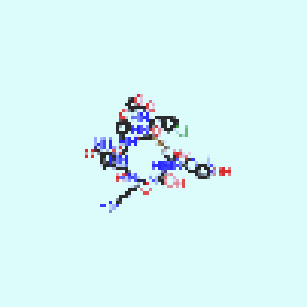 CNCCCCC[C@@H]1NC(=O)[C@@H](Cc2ccc(C(N)=O)cc2)NC(=O)[C@H](Cc2ccc(O)cc2)NC(=O)[C@H](NC(=O)[C@H](Cc2ccc(Cl)cc2)NC(=O)c2ccco2)CSSC[C@@H](C(=O)N[C@H](Cc2ccc(O)cc2)C(N)=O)NC(=O)[C@H]([C@@H](C)O)NC1=O